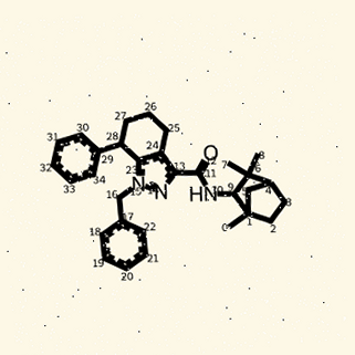 CC12CCC(C1)C(C)(C)C2NC(=O)c1nn(Cc2ccccc2)c2c1CCCC2c1ccccc1